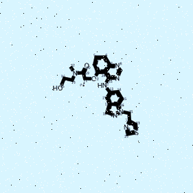 C[C@@H](Oc1cccc2ncnc(Nc3ccc4c(cnn4Cc4cscn4)c3)c12)C(=O)N(C)CCO